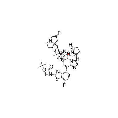 CC(C)(C)OC(=O)Nc1nc2c(-c3cc4nc(OC[C@@]56CCCN5C[C@H](F)C6)nc(N5[C@@H]6CC[C@H]5CN(C(=O)OC(C)(C)C)C6)c4n4ccnc34)ccc(F)c2s1